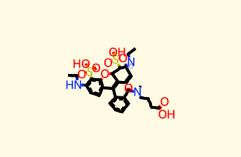 CC/N=C1/C=CC2=C(c3ccccc3C(=O)N(C)CCCC(=O)O)c3ccc(NCC)c(S(=O)(=O)O)c3OC2C1S(=O)(=O)O